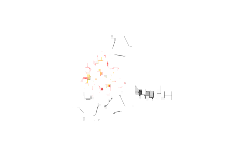 O=S(=O)(Oc1ccccc1)P(S(=O)(=O)Oc1ccccc1)S(=O)(=O)Oc1ccccc1.[NaH].[NaH].[NaH]